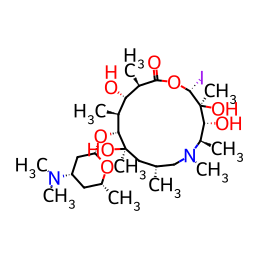 C[C@H]1CN(C)[C@H](C)[C@@H](O)[C@](C)(O)[C@@H](I)OC(=O)[C@H](C)[C@@H](O)[C@H](C)[C@@H](O[C@H]2C[C@@H](N(C)C)C[C@@H](C)O2)[C@](C)(O)C1